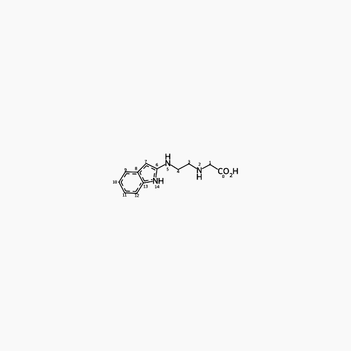 O=C(O)CNCCNc1cc2ccccc2[nH]1